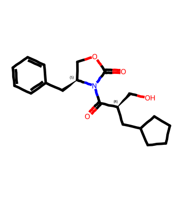 O=C1OC[C@H](Cc2ccccc2)N1C(=O)[C@@H](CO)CC1CCCC1